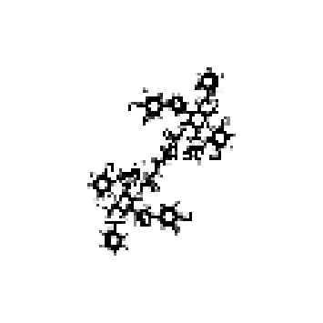 Cc1nc(C2OC3COC(c4ccccc4)OC3C(n3cc(-c4cc(F)c(Cl)c(F)c4)nn3)C2OCC(=O)NCCCCNC(=O)COC2C(c3nc(C)nn3-c3cc(Cl)ccc3Cl)OC3COC(c4ccccc4)OC3C2n2cc(-c3cc(F)c(Cl)c(F)c3)nn2)n(-c2cc(Cl)ccc2Cl)n1